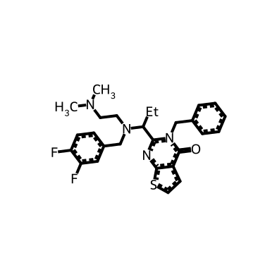 CCC(c1nc2sccc2c(=O)n1Cc1ccccc1)N(CCN(C)C)Cc1ccc(F)c(F)c1